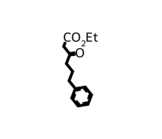 CCOC(=O)CC(=O)CCCc1ccccc1